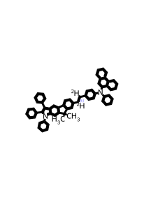 [2H]/C(=C(/[2H])c1ccc2c(c1)C(C)(C)c1cc3c(cc1-2)c(-c1ccccc1)c(-c1ccccc1)n3-c1ccccc1)c1ccc(N(c2ccccc2)c2cc3ccccc3c3ccccc23)cc1